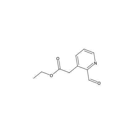 CCOC(=O)Cc1cccnc1C=O